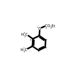 CCOC(=O)Oc1cc[c]c(C)c1C